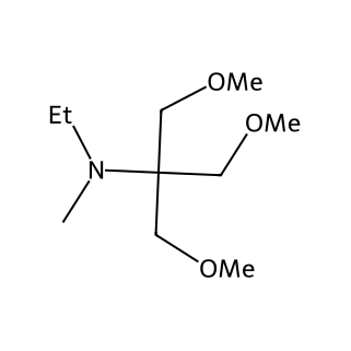 CCN(C)C(COC)(COC)COC